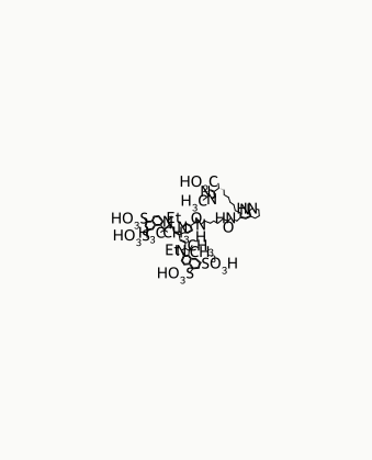 CCN1/C(=C/C=C(/C=C/C2N(CC)c3ccc4c(S(=O)(=O)O)cc(S(=O)(=O)O)cc4c3C2(C)C)c2ccc(C(=O)NCCCCCC(=O)NCc3cc4c(nc3CCCCCC[C@@H](CC(=O)O)c3cnc(C)nc3)NCCC4)cn2)C(C)(C)c2c1ccc1c(S(=O)(=O)O)cc(S(=O)(=O)O)cc21